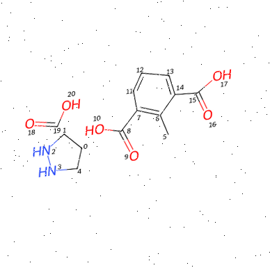 C1CNNC1.Cc1c(C(=O)O)cccc1C(=O)O.O=CO